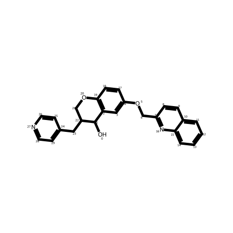 OC1c2cc(OCc3ccc4ccccc4n3)ccc2OCC1Cc1ccncc1